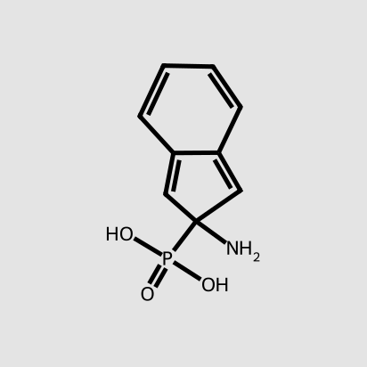 NC1(P(=O)(O)O)C=c2ccccc2=C1